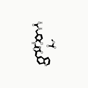 COC(=O)Cl.O=C(O)NCc1ccc(Cl)c(NC2=NC(=O)C(=Cc3ccc4ncccc4c3)S2)c1